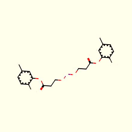 Cc1ccc(C(C)(C)C)c(OC(=O)CCOPOCCC(=O)Oc2cc(C)ccc2C(C)(C)C)c1